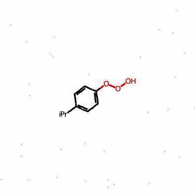 CC(C)c1ccc(OOO)cc1